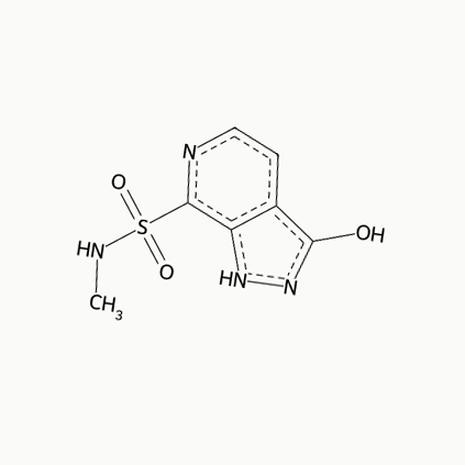 CNS(=O)(=O)c1nccc2c(O)n[nH]c12